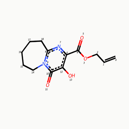 C=CCOC(=O)c1nc2n(c(=O)c1O)CCCCC2